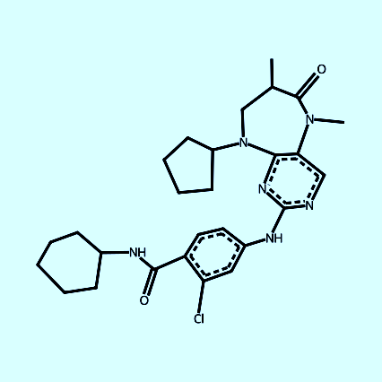 CC1CN(C2CCCC2)c2nc(Nc3ccc(C(=O)NC4CCCCC4)c(Cl)c3)ncc2N(C)C1=O